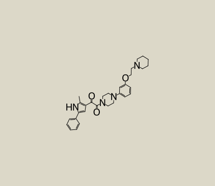 Cc1[nH]c(-c2ccccc2)cc1C(=O)C(=O)N1CCN(c2cccc(OCCN3CCCCC3)c2)CC1